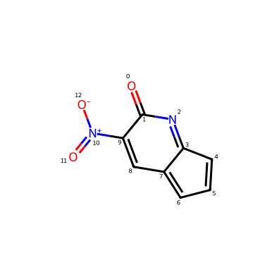 O=C1N=C2C=CC=C2C=C1[N+](=O)[O-]